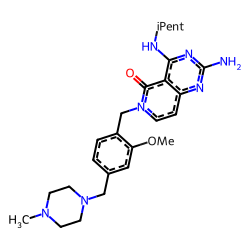 CCCC(C)Nc1nc(N)nc2ccn(Cc3ccc(CN4CCN(C)CC4)cc3OC)c(=O)c12